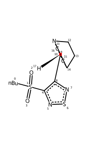 CCCCS(=O)(=O)c1nsnc1[C@H]1CN2CCC1CC2